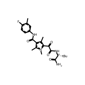 Cc1cc(NC(=O)c2c(C)c(C(=O)C(=O)N[C@@H](C(N)=O)C(C)(C)C)n(C)c2C)ccc1F